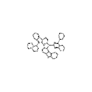 c1ccc(-c2nc(-n3c4ccc5c6ccccc6n(-c6cccc7ccccc67)c5c4c4ccc5oc6ccccc6c5c43)nc3ccccc23)cc1